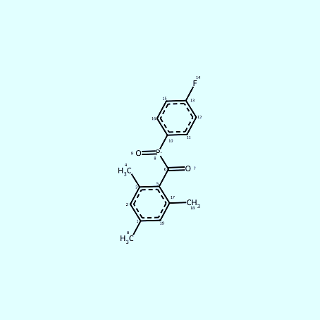 Cc1cc(C)c(C(=O)[P](=O)c2ccc(F)cc2)c(C)c1